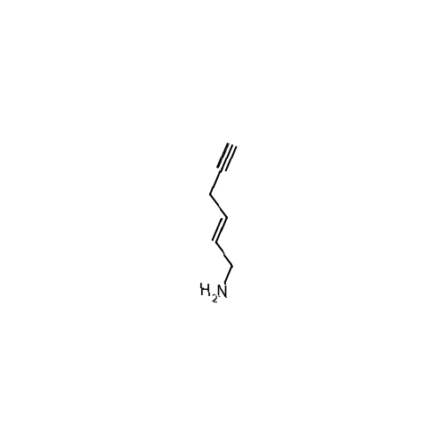 C#CCC=CCN